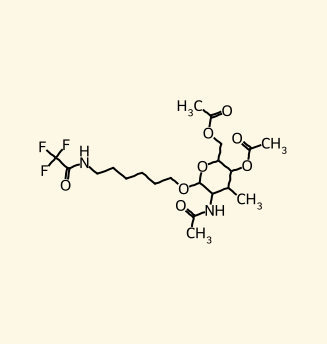 CC(=O)NC1C(OCCCCCCNC(=O)C(F)(F)F)OC(COC(C)=O)C(OC(C)=O)C1C